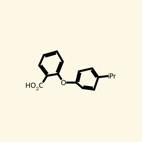 CC(C)c1ccc(Oc2ccccc2C(=O)O)cc1